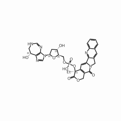 CC[C@@]1(OP(=O)(O)OC[C@H]2O[C@@H](n3cnc4c3N=CNC[C@H]4O)C[C@@H]2O)C(=O)OCc2c1cc1n(c2=O)Cc2cc3ccccc3nc2-1